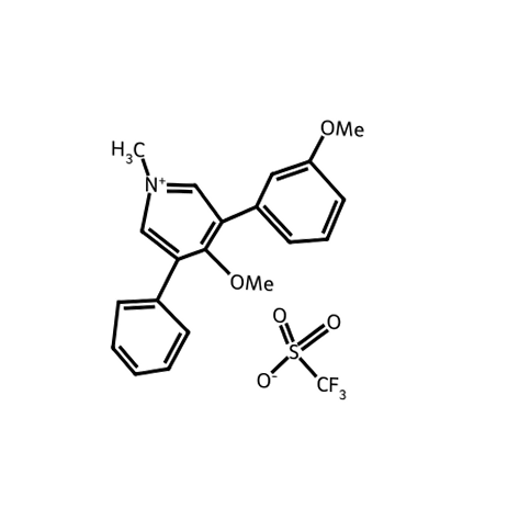 COc1cccc(-c2c[n+](C)cc(-c3ccccc3)c2OC)c1.O=S(=O)([O-])C(F)(F)F